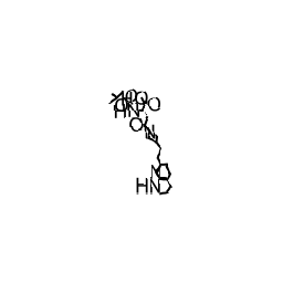 CC(C)(C)OC(=O)N[C@@H](CC(=O)N1CC(CCc2ccc3c(n2)NCCC3)C1)C(=O)O